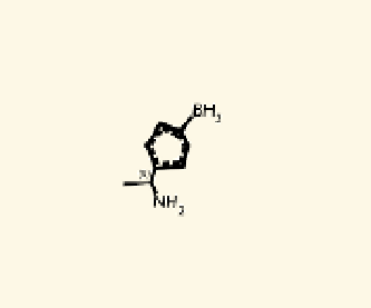 Bc1ccc([C@H](C)N)cc1